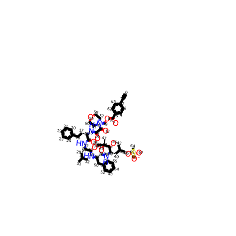 C#Cc1ccc(C(=O)OC[N+]2(C(=O)C(=O)N[C@@H](CCc3ccccc3)C(=O)N[C@@H](CC(C)C)C(=O)N[C@H](CN[C@@H](CC(C)C)C(=O)[C@@]3(C)CO3)Cc3ccccc3)CCOCC2)cc1.CS(=O)(=O)[O-]